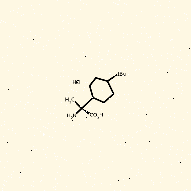 CC(C)(C)C1CCC([C@@](C)(N)C(=O)O)CC1.Cl